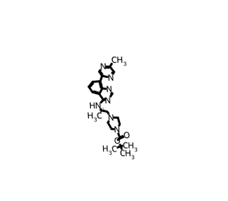 Cc1cnc(-c2cccc3c(N[C@@H](C)CN4CCN(C(=O)OC(C)(C)C)CC4)ncnc23)cn1